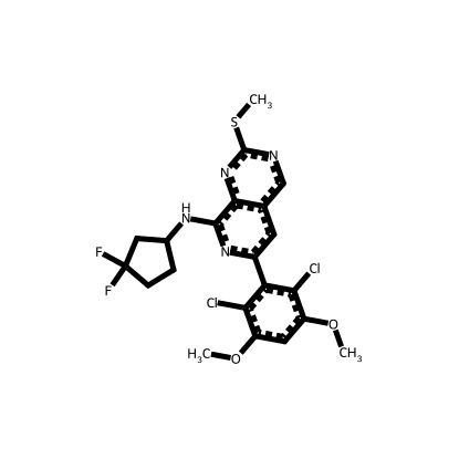 COc1cc(OC)c(Cl)c(-c2cc3cnc(SC)nc3c(NC3CCC(F)(F)C3)n2)c1Cl